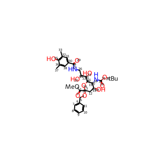 COC(=O)[C@@]1(OCc2ccccc2)C[C@H](O)[C@@H](NC(=O)OC(C)(C)C)[C@H]([C@H](O)[C@H](O)CNC(=O)c2cc(C)c(O)c(C)c2)O1